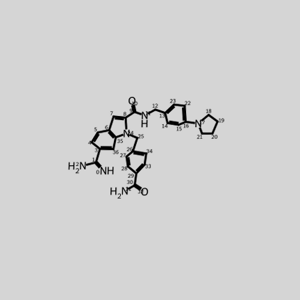 N=C(N)c1ccc2cc(C(=O)NCc3ccc(N4CCCC4)cc3)n(Cc3ccc(C(N)=O)cc3)c2c1